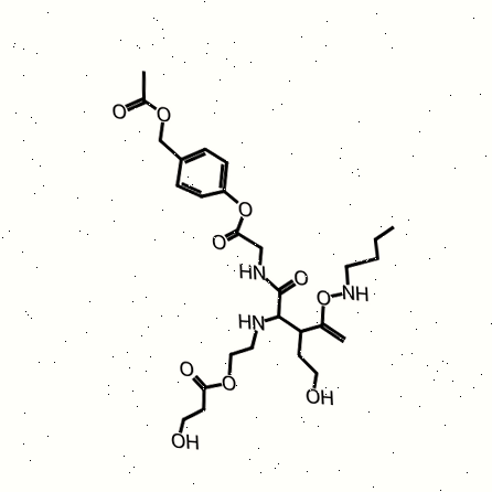 C=C(ONCCCC)C(CCO)C(NCCOC(=O)CCO)C(=O)NCC(=O)Oc1ccc(COC(C)=O)cc1